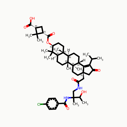 CC(C)C1=C2[C@H]3CC[C@@H]4[C@@]5(C)CC[C@H](OC(=O)[C@H]6C[C@@H](C(=O)O)C6(C)C)C(C)(C)[C@@H]5CC[C@@]4(C)[C@]3(C)CC[C@@]2(CC(=O)NCC(C)(NC(=O)c2ccc(Cl)cc2)C(C)O)CC1=O